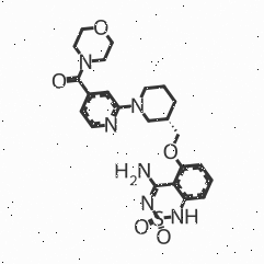 NC1=NS(=O)(=O)Nc2cccc(OC[C@H]3CCCN(c4cc(C(=O)N5CCOCC5)ccn4)C3)c21